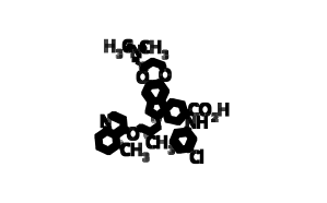 C[C@@H](COc1ccnc2c1[C@H](C)CCC2)C[C@H]1Cc2cc3c(cc2C12CCC(Nc1cccc(Cl)c1)(C(=O)O)CC2)OCC[C@@H](CN(C)C)O3